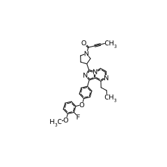 CC#CC(=O)N1CCC(c2nc(-c3ccc(Oc4cccc(OC)c4F)cc3)c3c(CCC)nccn23)C1